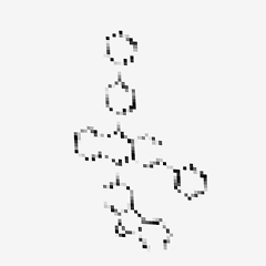 c1ccc(-c2ccc(-c3c4ccccc4c(-c4ccc5oc6ccccc6c5c4)c4cc(-c5ccccc5)ccc34)cc2)cc1